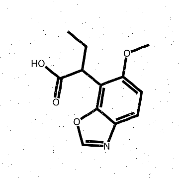 CCC(C(=O)O)c1c(OC)ccc2ncoc12